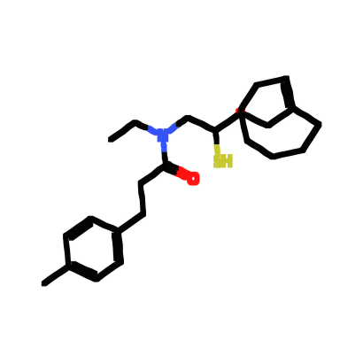 CCN(CC(S)CC/C1=C\CCCCCC1)C(=O)CCc1ccc(C)cc1